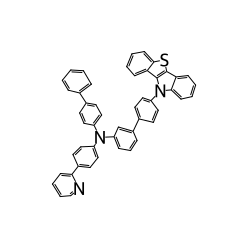 c1ccc(-c2ccc(N(c3ccc(-c4ccccn4)cc3)c3cccc(-c4ccc(-n5c6ccccc6c6sc7ccccc7c65)cc4)c3)cc2)cc1